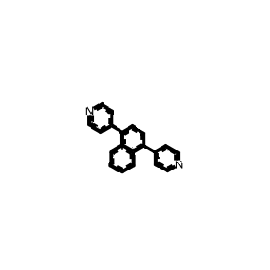 c1ccc2c(-c3ccncc3)ccc(-c3ccncc3)c2c1